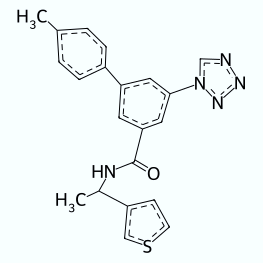 Cc1ccc(-c2cc(C(=O)NC(C)c3ccsc3)cc(-n3cnnn3)c2)cc1